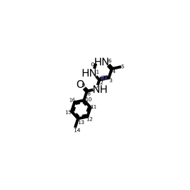 CN/C(=C\C(C)=N)NC(=O)c1ccc(C)cc1